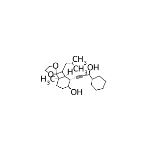 CC(C)CC1[C@H]2[C@H](C#C[C@@H](O)C3CCCCC3)[C@@H](O)CC[C@@]2(C)C12OCCO2